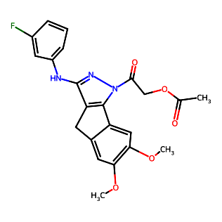 COc1cc2c(cc1OC)-c1c(c(Nc3cccc(F)c3)nn1C(=O)COC(C)=O)C2